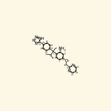 CC(C)C(C)(c1ccc(OCc2ncccn2)cc1)c1ccc(-c2nnn[nH]2)cc1.N